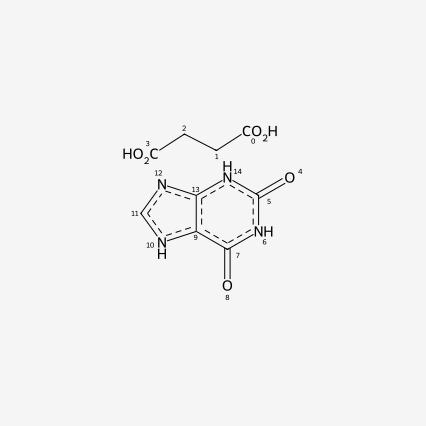 O=C(O)CCC(=O)O.O=c1[nH]c(=O)c2[nH]cnc2[nH]1